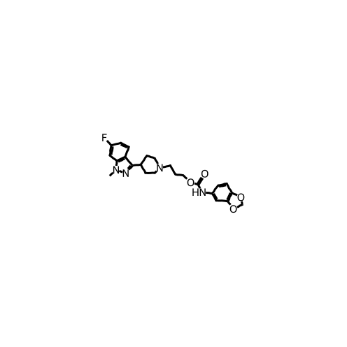 Cn1nc(C2CCN(CCCOC(=O)Nc3ccc4c(c3)OCO4)CC2)c2ccc(F)cc21